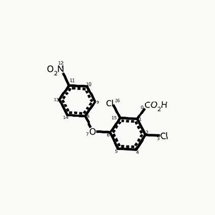 O=C(O)c1c(Cl)ccc(Oc2ccc([N+](=O)[O-])cc2)c1Cl